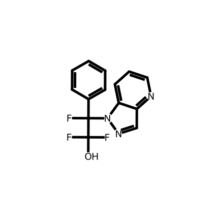 OC(F)(F)C(F)(c1ccccc1)n1ncc2ncccc21